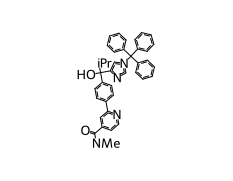 CNC(=O)c1ccnc(-c2ccc(C(O)(c3cn(C(c4ccccc4)(c4ccccc4)c4ccccc4)cn3)C(C)C)cc2)c1